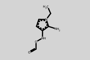 CCn1ccc(NOC=O)c1N